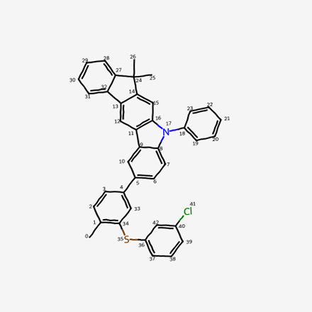 Cc1ccc(-c2ccc3c(c2)c2cc4c(cc2n3-c2ccccc2)C(C)(C)c2ccccc2-4)cc1Sc1cccc(Cl)c1